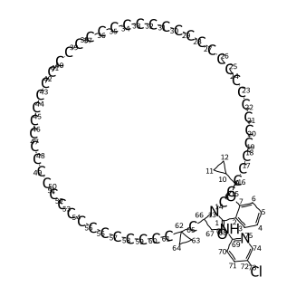 O=C(c1ccccc1OCC1CC1)N1CCCCCCCCCCCCCCCCCCCCCCCCCCCCCCCCCCCCCCCCCCCCCCCCC2(CC2)CC1CNc1ccc(Cl)cn1